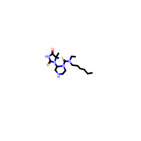 CCCCCCN(CC)C(=S)N1CCNCC1N1C(=S)NC(=O)C1(C)C